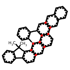 CC1(C)c2ccccc2-c2cccc(N(c3cccc(-c4ccc5ccccc5c4)c3)c3ccccc3-c3ccccc3-c3ccccc3)c21